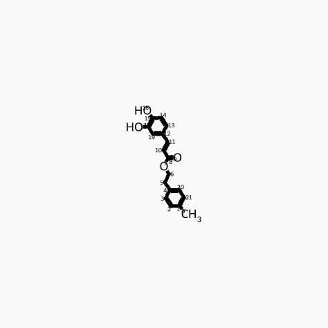 Cc1ccc(CCOC(=O)/C=C/c2ccc(O)c(O)c2)cc1